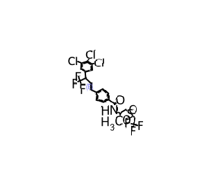 CC(CS(=O)(=O)CC(F)(F)F)NC(=O)c1ccc(/C=C/C(c2cc(Cl)c(Cl)c(Cl)c2)C(F)(F)F)cc1